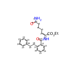 CCOC(=O)C(=CCCCC(N)=O)NC(=O)c1ccccc1CCc1ccccc1